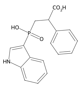 O=C(O)C(CP(=O)(O)c1c[nH]c2ccccc12)c1ccccc1